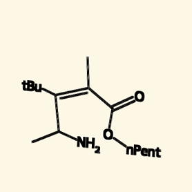 CCCCCOC(=O)C(C)=C(C(C)N)C(C)(C)C